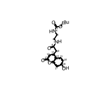 CC(C)(C)OC(=O)NCCNC(=O)Cc1cc(=O)oc2cc(O)ccc12